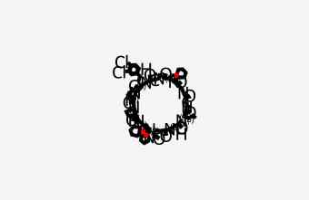 CC[C@H](C)[C@@H]1NC(=O)[C@H](C)N(C)C(=O)C[C@@H](C(=O)N2CCCCC2)N(C)C(=O)[C@H](C2CCCCC2)N(C)C(=O)C2(CCCC2)NC(=O)[C@@H]2CCCN2C(=O)[C@H](CCc2ccc(Cl)c(Cl)c2)NC(=O)CN(C)C(=O)[C@H](CC2CCCCC2)N(C)C(=O)CN(C)C(=O)CN(C)C1=O